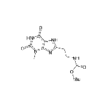 Cn1c(=O)[nH]c(=O)c2[nH]c(CCNC(=O)OC(C)(C)C)nc21